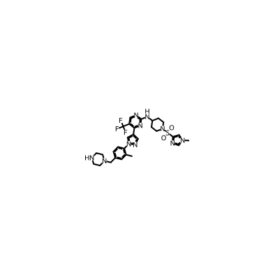 Cc1cc(CN2CCNCC2)ccc1-n1cc(-c2nc(NC3CCN(S(=O)(=O)c4cn(C)cn4)CC3)ncc2C(F)(F)F)cn1